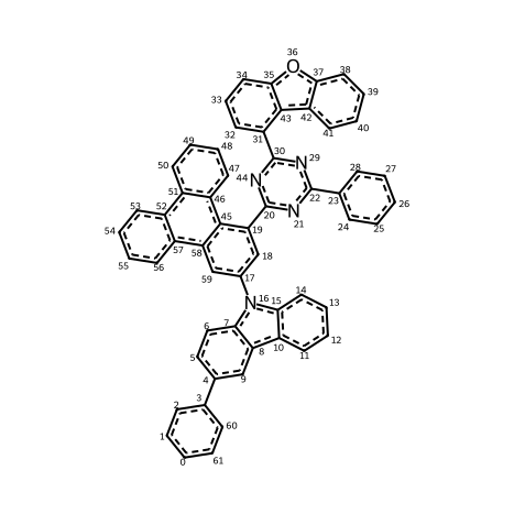 c1ccc(-c2ccc3c(c2)c2ccccc2n3-c2cc(-c3nc(-c4ccccc4)nc(-c4cccc5oc6ccccc6c45)n3)c3c4ccccc4c4ccccc4c3c2)cc1